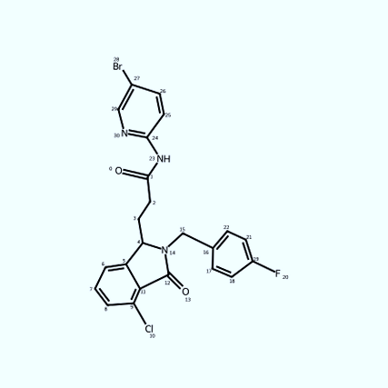 O=C(CCC1c2cccc(Cl)c2C(=O)N1Cc1ccc(F)cc1)Nc1ccc(Br)cn1